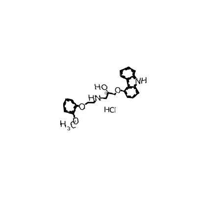 COc1ccccc1OCCNC[C@H](O)COc1cccc2[nH]c3ccccc3c12.Cl